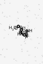 COc1cccc(Oc2ccc(S(=O)(=O)Nc3ccc(C(F)(F)F)c(O[C@]4(C)CCNC4)c3)cc2Cl)c1